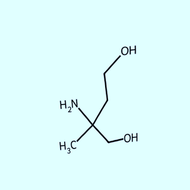 CC(N)(CO)CCO